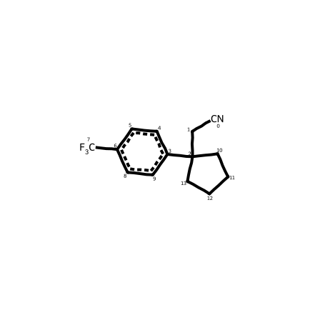 N#CCC1(c2ccc(C(F)(F)F)cc2)CCCC1